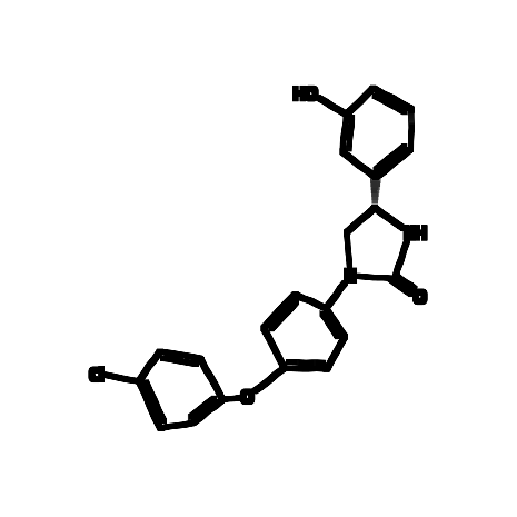 O=C1N[C@@H](c2cccc(O)c2)CN1c1ccc(Oc2ccc(Cl)cc2)cc1